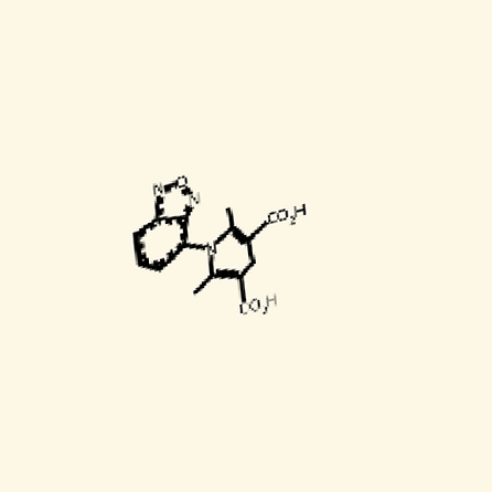 CC1=C(C(=O)O)CC(C(=O)O)=C(C)N1c1cccc2nonc12